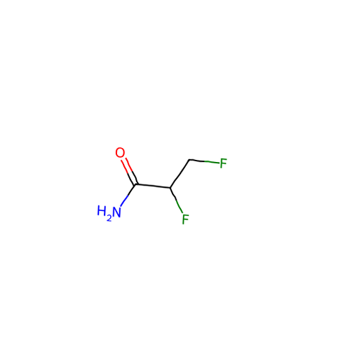 NC(=O)C(F)CF